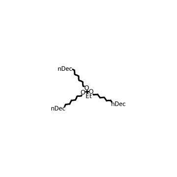 CCCCCCCCCCCCCCCCOC(CC)(OCCCCCCCCCCCCCCCC)OCCCCCCCCCCCCCCCC